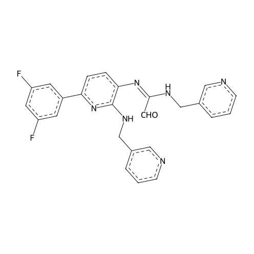 O=C/C(=N\c1ccc(-c2cc(F)cc(F)c2)nc1NCc1cccnc1)NCc1cccnc1